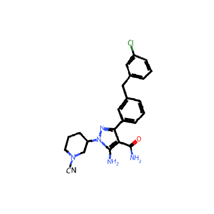 N#CN1CCCC(n2nc(-c3cccc(Cc4cccc(Cl)c4)c3)c(C(N)=O)c2N)C1